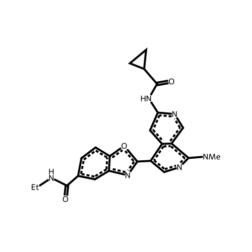 CCNC(=O)c1ccc2oc(-c3cnc(NC)c4cnc(NC(=O)C5CC5)cc34)nc2c1